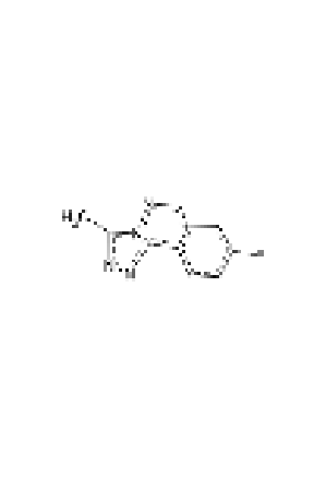 Cc1nnc2c3ccc(F)cc3cnn12